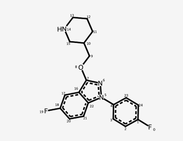 Fc1ccc(-n2nc(OCC3CCCNC3)c3cc(F)ccc32)cc1